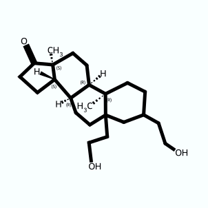 C[C@]12CC[C@@H]3[C@@H](CCC4(CCO)CC(CCO)CC[C@]34C)[C@@H]1CCC2=O